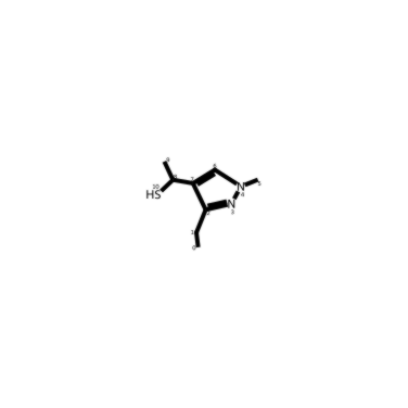 CCc1nn(C)cc1C(C)S